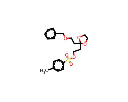 Cc1ccc(S(=O)(=O)OCCC2(CCOCc3ccccc3)OCCO2)cc1